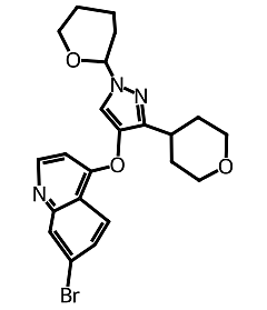 Brc1ccc2c(Oc3cn(C4CCCCO4)nc3C3CCOCC3)ccnc2c1